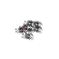 C[Si](C)(CC[Si](CC[Si]1(C)O[Si](C)(C)O[Si](C)(C)O[Si](C)(C)O1)(CC[Si]1(C)O[Si](C)(C)O[Si](C)(C)O[Si](C)(C)O1)CC[Si]1(C)O[Si](C)(C)O[Si](C)(C)O[Si](C)(C)O1)O[Si](C)(C)CC[Si](CC[Si]1(C)O[Si](C)(C)O[Si](C)(C)O[Si](C)(C)O1)(CC[Si]1(C)O[Si](C)(C)O[Si](C)(C)O[Si](C)(C)O1)CC[Si]1(C)O[Si](C)(C)O[Si](C)(C)O[Si](C)(C)O1